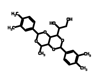 Cc1ccc(C2OC(C(O)CO)C3OC(c4ccc(C)c(C)c4)OC(C)C3O2)cc1C